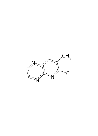 Cc1cc2nccnc2nc1Cl